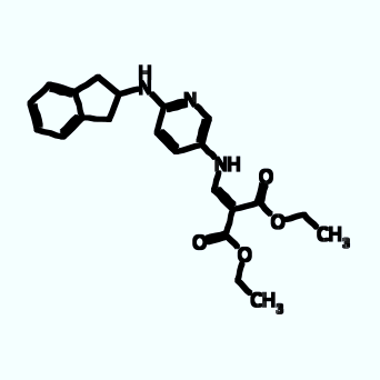 CCOC(=O)C(=CNc1ccc(NC2Cc3ccccc3C2)nc1)C(=O)OCC